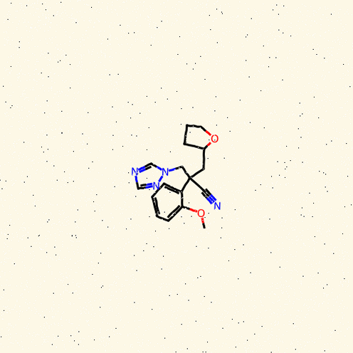 COc1ccccc1C(C#N)(CC1CCCO1)Cn1cncn1